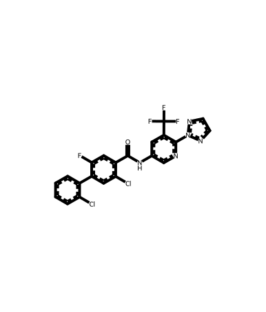 O=C(Nc1cnc(-n2nccn2)c(C(F)(F)F)c1)c1cc(F)c(-c2ccccc2Cl)cc1Cl